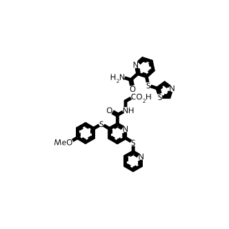 COc1ccc(Sc2ccc(Sc3ccccn3)nc2C(=O)NCC(=O)O)cc1.NC(=O)c1ncccc1Sc1cncs1